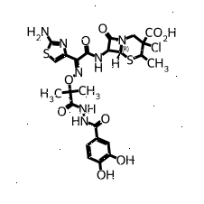 CC1S[C@@H]2C(NC(=O)C(=NOC(C)(C)C(=O)NNC(=O)c3ccc(O)c(O)c3)c3csc(N)n3)C(=O)N2CC1(Cl)C(=O)O